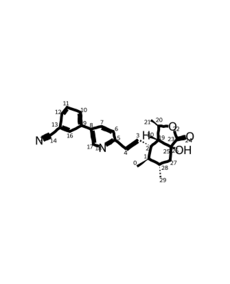 C[C@H]1[C@H](/C=C/c2ccc(-c3cccc(C#N)c3)cn2)[C@@H]2[C@@H](C)OC(=O)[C@]2(O)C[C@@H]1C